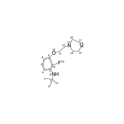 CC(C)(C)Nc1cccc(OCCN2CCOCC2)c1F